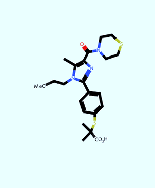 COCCn1c(-c2ccc(SC(C)(C)C(=O)O)cc2)nc(C(=O)N2CCSCC2)c1C